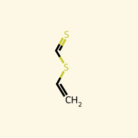 C=CSC=S